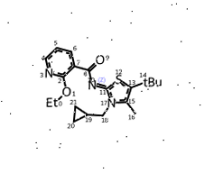 CCOc1ncccc1C(=O)/N=c1\sc(C(C)(C)C)c(C)n1CC1CC1